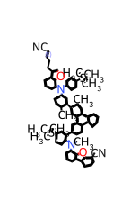 Cc1ccc(N(c2ccc([Si](C)(C)C)cc2)c2cccc3c(CC/C=C/C#N)coc23)cc1-c1cc2c3cc(-c4cc([Si](C)(C)C)ccc4N(C)c4cccc5c4oc4c(C#N)cccc45)ccc3c3ccccc3c2cc1C